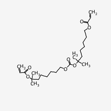 C=CC(=O)OCCCCCCC(C)(C)OC(=O)OCCCCCCC(C)(C)OC(=O)C=C